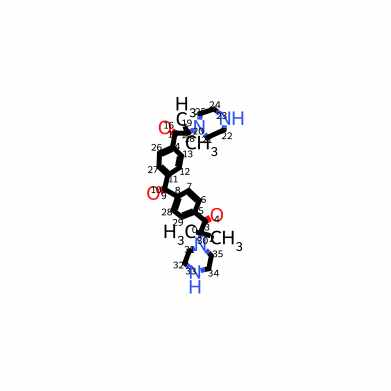 CC(C)(C(=O)c1ccc(C(=O)c2ccc(C(=O)C(C)(C)N3CCNCC3)cc2)cc1)N1CCNCC1